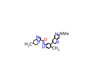 CNc1cc2ncc(-c3cc(NC(=O)c4cnc5n4CCC(C)C5)ccc3C)cc2cn1